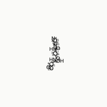 O=C(N[C@H](CO)c1ccc2c(c1)OCO2)c1ccc(NC(=O)N2Cc3ccncc3C2)cc1